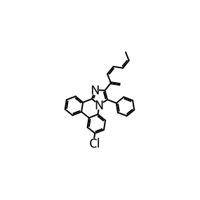 C=C(/C=C\C=C/C)c1nc2c3ccccc3c3cc(Cl)ccc3n2c1-c1ccccc1